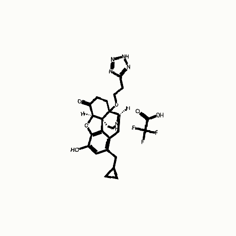 O=C(O)C(F)(F)F.O=C1CCC2(OCCc3nn[nH]n3)[C@H]3Cc4c(CC5CC5)cc(O)c5c4[C@@]2(CCN3)[C@H]1O5